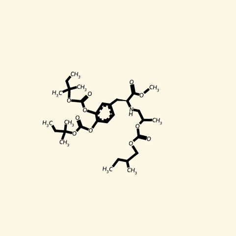 CCC(C)COC(=O)OC(C)CN[C@@H](Cc1ccc(OC(=O)OC(C)(C)CC)c(OC(=O)OC(C)(C)CC)c1)C(=O)OC